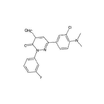 CN(C)c1ccc(-c2cc(C=O)c(=O)n(-c3cccc(F)c3)n2)cc1Cl